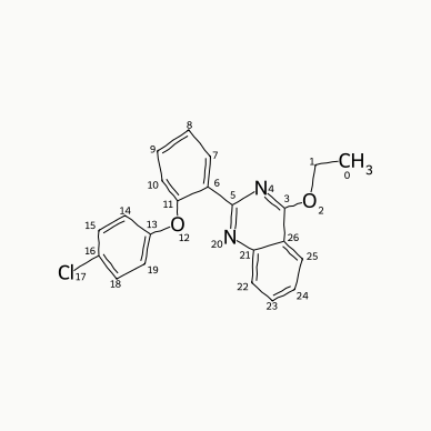 CCOc1nc(-c2ccccc2Oc2ccc(Cl)cc2)nc2ccccc12